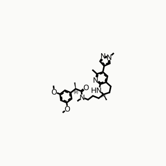 COc1cc(OC)cc([C@@H](C)C(=O)N(C)CCC[C@@]2(C)CCc3cc(-c4cnn(C)c4)c(C)nc3N2)c1